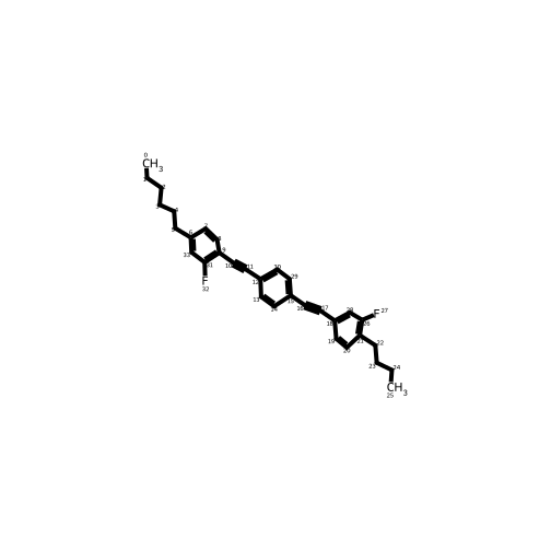 CCCCCCc1ccc(C#Cc2ccc(C#Cc3ccc(CCCC)c(F)c3)cc2)c(F)c1